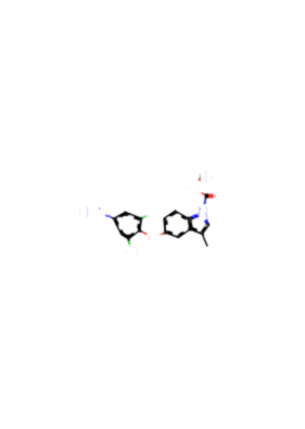 Cc1cn(C(=O)OC(C)(C)C)c2ccc(Oc3c(Cl)cc(N)cc3Cl)cc12